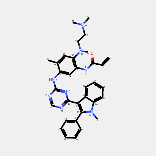 C=CC(=O)Nc1cc(Nc2ncnc(-c3c(-c4ccccc4)n(C)c4ccccc34)n2)c(C)cc1N(C)CCN(C)C